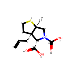 C=CC[C@]12CCS[C@H]1CN(C(=O)O)[C@@H]2C(=O)O